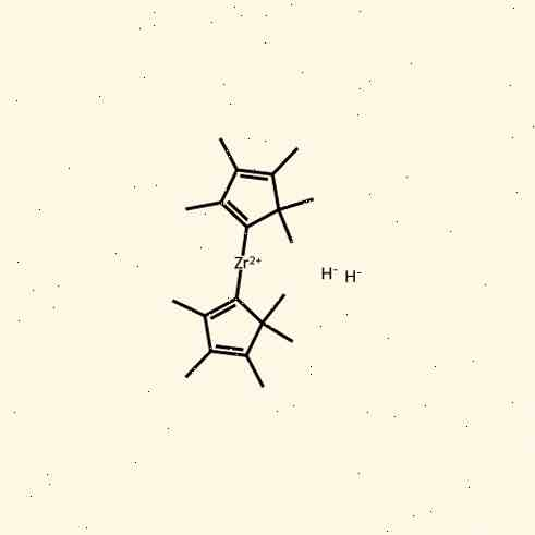 CC1=C(C)C(C)(C)[C]([Zr+2][C]2=C(C)C(C)=C(C)C2(C)C)=C1C.[H-].[H-]